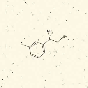 CC(C)CC(N)c1cccc(F)c1